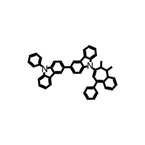 CC1C(n2c3ccccc3c3cc(-c4ccc5c(c4)c4ccccc4n5-c4ccccc4)ccc32)=CC(c2ccccc2)=C2C=CC=CC2C1C